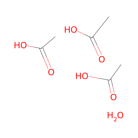 CC(=O)O.CC(=O)O.CC(=O)O.O